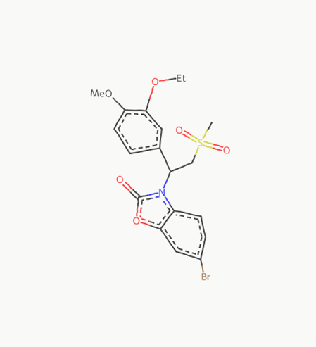 CCOc1cc(C(CS(C)(=O)=O)n2c(=O)oc3cc(Br)ccc32)ccc1OC